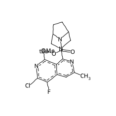 COc1nc(Cl)c(F)c2cc(C)nc(N3CC4CCC(C3)N4C(=O)OC(C)(C)C)c12